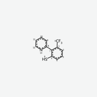 FC(F)(F)c1cccc(S)c1-c1ccccn1